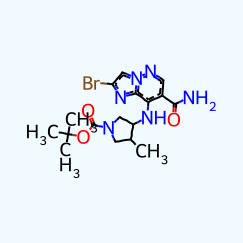 CC1CN(C(=O)OC(C)(C)C)CC1Nc1c(C(N)=O)cnn2cc(Br)nc12